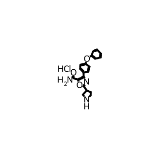 Cl.NC(=O)c1oc(C2CCNC2)nc1-c1ccc(Oc2ccccc2)cc1